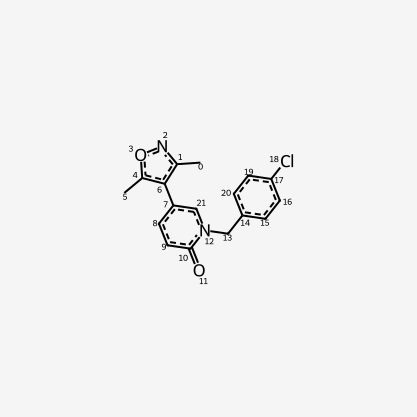 Cc1noc(C)c1-c1ccc(=O)n(Cc2ccc(Cl)cc2)c1